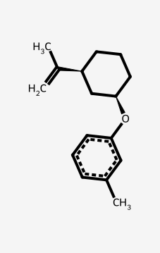 C=C(C)[C@H]1CCC[C@@H](Oc2cccc(C)c2)C1